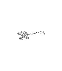 CCCCCCCCCC(=O)O[C@]1(CO)O[C@H](CO)[C@@H](O)[C@@H]1O